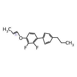 C/C=C/Oc1ccc(-c2ccc(CCC)cc2)c(F)c1F